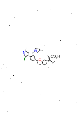 Cc1cc(-c2ccc(C3CCc4ccc([C@H](C5CC5)[C@H](C)C(=O)O)cc4O3)cc2CN2CC[C@H](C)C2)c(F)cn1